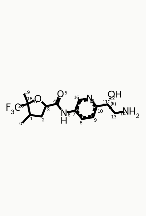 CC1CC(C(=O)Nc2ccc([C@H](O)CN)nc2)OC1(C)C(F)(F)F